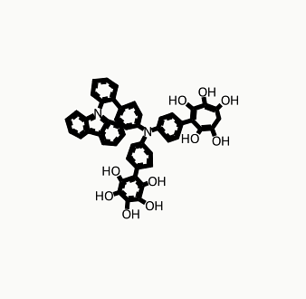 OC1=C(O)C(O)=C(c2ccc(N(c3ccc(-c4ccccc4-n4c5ccccc5c5ccccc54)cc3)c3ccc(-c4c(O)c(O)c(O)c(O)c4O)cc3)cc2)C(O)=C(O)C1